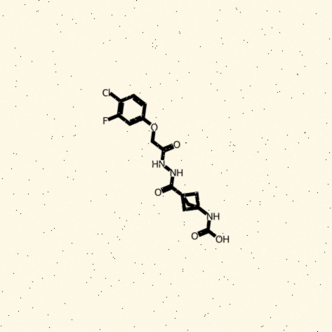 O=C(O)NC12CC(C(=O)NNC(=O)COc3ccc(Cl)c(F)c3)(C1)C2